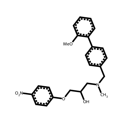 COc1ccccc1-c1ccc(CN(C)CC(O)COc2ccc([N+](=O)[O-])cc2)cc1